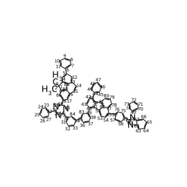 CC1(C)c2cc(-c3ccccc3)cc3ccc4cc(-c5nc(-c6ccccc6)nc(-c6cccc(-c7cccc(-c8ccc(-c9ccccc9)c9c8-c8ccc(-c%10ccc(-c%11nc%12ccccc%12n%11-c%11ccccc%11)cc%10)c%10cccc-9c8%10)c7)c6)n5)cc1c4c23